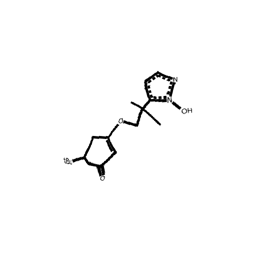 CC(C)(COC1=CC(=O)C(C(C)(C)C)C1)c1ccnn1O